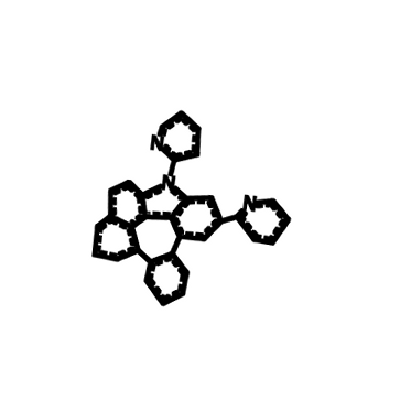 c1ccc(-c2cc3c4c5c6c(cccc6ccc5n(-c5ccccn5)c4c2)-c2ccccc2-3)nc1